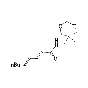 CCCC/C=C/C=C/C(=O)NCC1(C)COCOC1